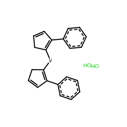 C1=CC(c2ccccc2)=[C]([V][C]2=C(c3ccccc3)C=CC2)C1.Cl.Cl